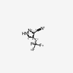 N#Cc1n[nH]cc1SC(F)(F)F